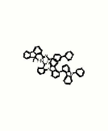 CC1(C)c2ccccc2-c2cccc(C3=NC(c4ccc(-c5ccccc5)cc4)=NC(c4ccccc4-n4c5c(c6c(-c7cccc8c7c7ccccc7n8-c7ccccc7)cccc64)=CCCC=5)N3)c21